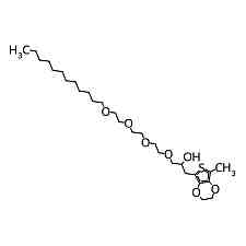 CCCCCCCCCCCCOCCOCCOCCOCC(O)Cc1sc(C)c2c1OCCO2